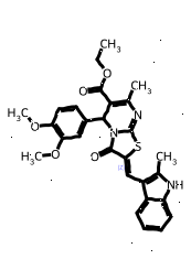 CCOC(=O)C1=C(C)N=c2s/c(=C\c3c(C)[nH]c4ccccc34)c(=O)n2C1c1ccc(OC)c(OC)c1